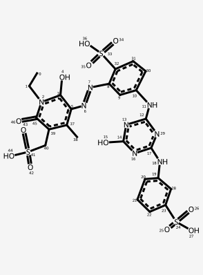 CCn1c(O)c(N=Nc2cc(Nc3nc(O)nc(Nc4cccc(S(=O)(=O)O)c4)n3)ccc2S(=O)(=O)O)c(C)c(CS(=O)(=O)O)c1=O